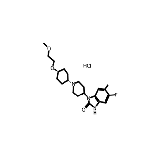 COCCO[C@H]1CC[C@H](N2CCC(n3c(=O)[nH]c4cc(F)c(C)cc43)CC2)CC1.Cl